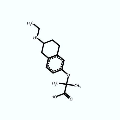 CCNC1CCc2cc(OC(C)(C)C(=O)O)ccc2C1